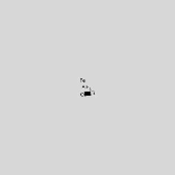 [AlH3].[Fe].[O]=[Ti]